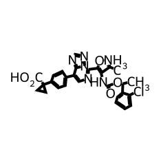 Cc1noc(-c2ncc(-c3ccc(C4(C(=O)O)CC4)cc3)c3ncnn23)c1NC(=O)OC(C)c1ccccc1Cl